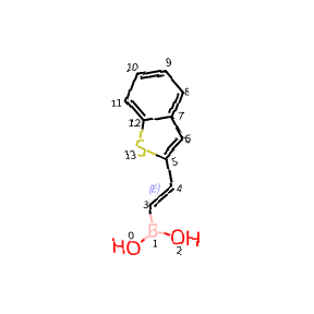 OB(O)/C=C/c1cc2ccccc2s1